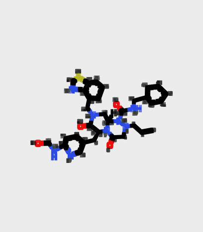 C=CCN1CC(=O)N2[C@@H](Cc3ccc(NC=O)nc3)C(=O)N(Cc3cccc4scnc34)C[C@@H]2N1C(=O)NCc1ccccc1